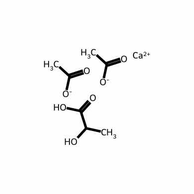 CC(=O)[O-].CC(=O)[O-].CC(O)C(=O)O.[Ca+2]